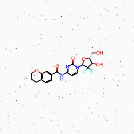 O=C(Nc1ccn(C2O[C@H](CO)[C@@H](O)C2(F)F)c(=O)n1)c1ccc2c(c1)OCCC2